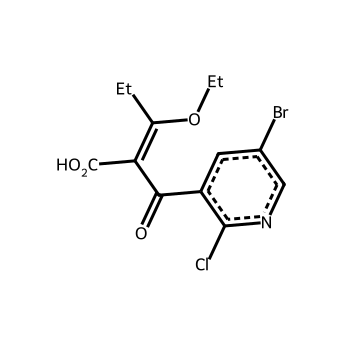 CCOC(CC)=C(C(=O)O)C(=O)c1cc(Br)cnc1Cl